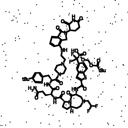 CC(C)(C)C(=O)OCOP(=O)(O)C(F)(F)c1ccc2sc(C(=O)N[C@H]3CN(CC(F)F)CC[C@H]4CC[C@@H](C(=O)N[C@@H](CCC(N)=O)C(=O)N[C@@H](Cc5ccc(C(C)(C)C)cc5)C(=O)N5CCN(CCNc6cccc7c6CN(C6CCC(=O)NC6=O)C7=O)CC5)N4C3=O)cc2c1